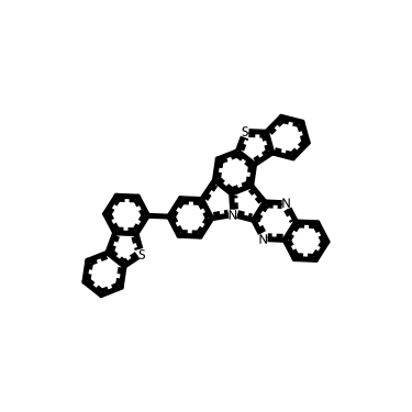 c1ccc2nc3c(nc2c1)c1c2c(cc4c5cc(-c6cccc7c6sc6ccccc67)ccc5n3c41)sc1ccccc12